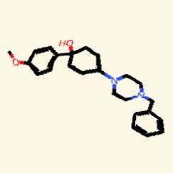 COc1ccc(C2(O)CCC(N3CCN(Cc4ccccc4)CC3)CC2)cc1